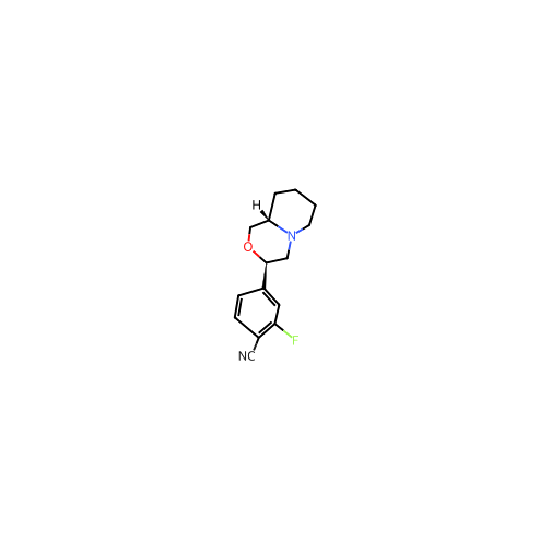 N#Cc1ccc([C@@H]2CN3CCCC[C@H]3CO2)cc1F